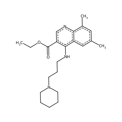 CCOC(=O)c1cnc2c(C)cc(C)cc2c1NCCCN1CCCCC1